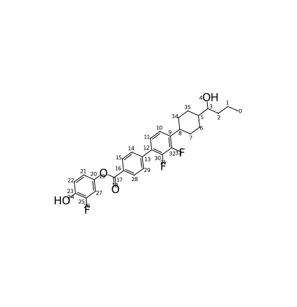 CCCC(O)C1CCC(c2ccc(-c3ccc(C(=O)Oc4ccc(O)c(F)c4)cc3)c(F)c2F)CC1